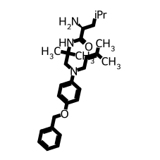 CC(C)=CCN(CC(C)(C)NC(=O)[C@@H](N)CC(C)C)c1ccc(OCc2ccccc2)cc1